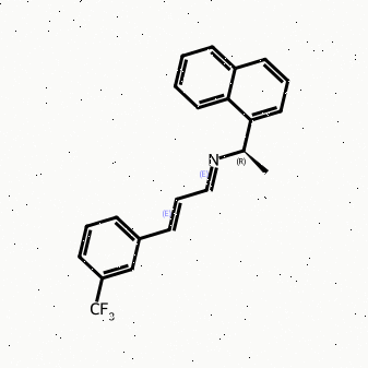 C[C@@H](/N=C/C=C/c1cccc(C(F)(F)F)c1)c1cccc2ccccc12